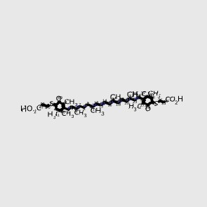 CC1=C(/C=C/C(C)=C/C=C/C(C)=C/C=C/C=C(C)/C=C/C=C(C)/C=C/C2=C(C)C(=O)C(SCCC(=O)O)CC2(C)C)C(C)(C)CC(SCCC(=O)O)C1=O